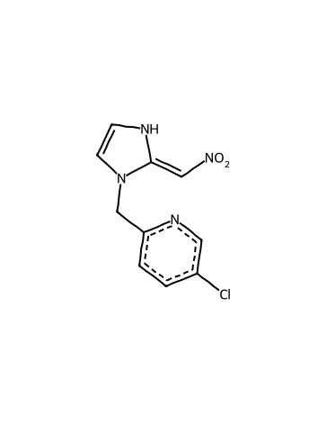 O=[N+]([O-])C=C1NC=CN1Cc1ccc(Cl)cn1